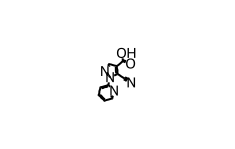 N#Cc1c(C(=O)O)cnn1-c1ccccn1